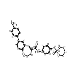 Cc1ccc(-c2ccc3c(c2)C=C(C(=O)Nc2ccc(CP4(=O)OCCCO4)cc2)CCO3)cc1